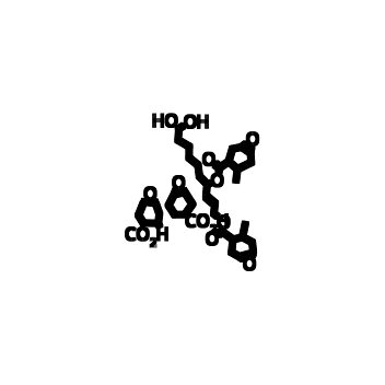 CC1CC2OC2CC1C(=O)OCC=CC(CCCCCC(O)O)OC(=O)C1CC2OC2CC1C.O=C(O)C1CCC2OC2C1.O=C(O)C1CCC2OC2C1